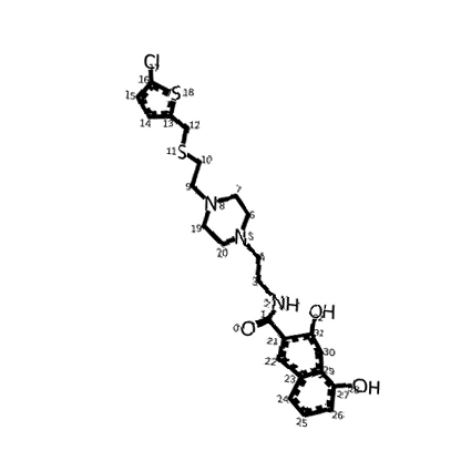 O=C(NCCN1CCN(CCSCc2ccc(Cl)s2)CC1)c1cc2cccc(O)c2cc1O